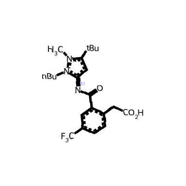 CCCCn1/c(=N/C(=O)c2cc(C(F)(F)F)ccc2CC(=O)O)cc(C(C)(C)C)n1C